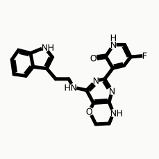 O=c1[nH]cc(F)cc1-c1nc2c(c(NCCc3c[nH]c4ccccc34)n1)OCCN2